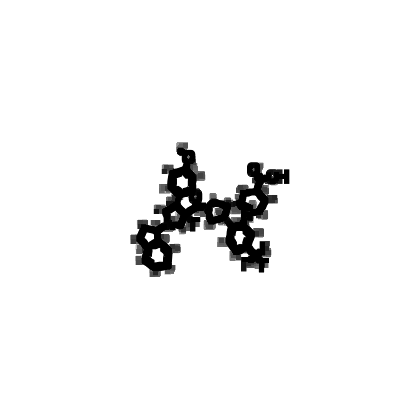 CC[C@H]1CN(C(=O)[C@]2(F)CN(C3CCc4ccccc43)C[C@H]2c2ccc(OC)cc2)C[C@@H]1c1ccc(C(F)(F)F)cc1N1CCC(C(=O)O)CC1